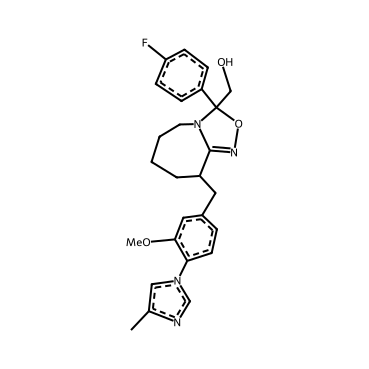 COc1cc(CC2CCCCN3C2=NOC3(CO)c2ccc(F)cc2)ccc1-n1cnc(C)c1